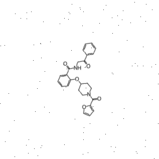 O=C(CNC(=O)c1ccccc1OC1CCN(C(=O)c2ccco2)CC1)c1ccccc1